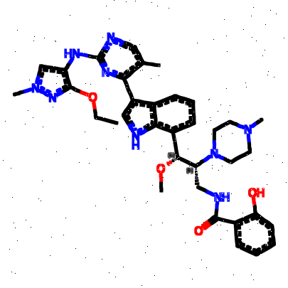 CCOc1nn(C)cc1Nc1ncc(C)c(-c2c[nH]c3c([C@@H](OC)[C@@H](CNC(=O)c4ccccc4O)N4CCN(C)CC4)cccc23)n1